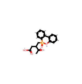 CC(=O)C(CC(=O)O)CP1(=O)Oc2ccccc2-c2ccccc21